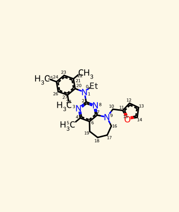 CCN(c1nc(C)c2c(n1)N(Cc1ccco1)CCCC2)c1c(C)cc(C)cc1C